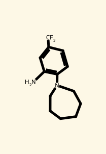 Nc1cc(C(F)(F)F)ccc1N1CCCCCC1